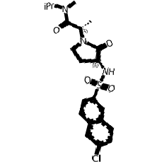 CC(C)N(C)C(=O)[C@H](C)N1CC[C@H](NS(=O)(=O)c2ccc3cc(Cl)ccc3c2)C1=O